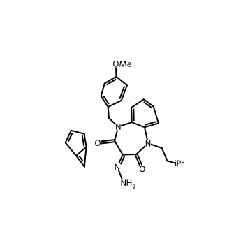 COc1ccc(Cn2c(=O)c(=NN)c(=O)n(CCC(C)C)c3ccccc32)cc1.c1cc2cc-2c1